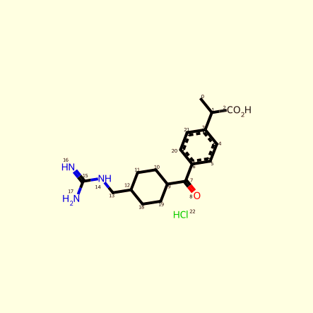 CC(C(=O)O)c1ccc(C(=O)C2CCC(CNC(=N)N)CC2)cc1.Cl